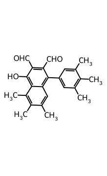 Cc1cc(-c2c(C=O)c(C=O)c(O)c3c(C)c(C)c(C)cc23)cc(C)c1C